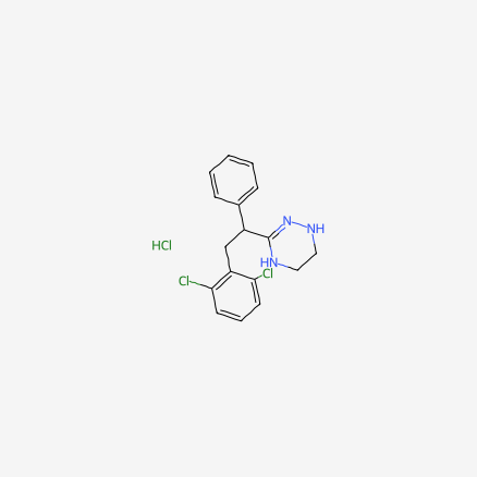 Cl.Clc1cccc(Cl)c1CC(C1=NNCCN1)c1ccccc1